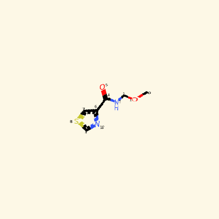 COCNC(=O)c1cscn1